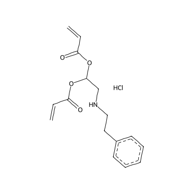 C=CC(=O)OC(CNCCc1ccccc1)OC(=O)C=C.Cl